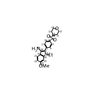 CCn1c(-c2ccc(S(=O)(=O)N3CCOCC3)cc2)c(N)c2ccc(OC)cc21